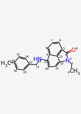 CCN1C(=O)c2cccc3c(NCc4ccc(C)cc4)ccc1c23